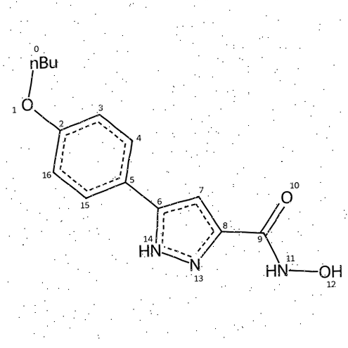 CCCCOc1ccc(-c2cc(C(=O)NO)n[nH]2)cc1